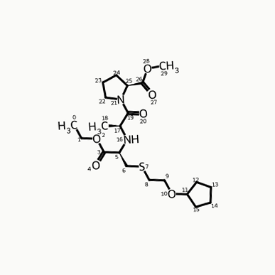 CCOC(=O)[C@H](CSCCOC1CCCC1)N[C@@H](C)C(=O)N1CCC[C@H]1C(=O)OC